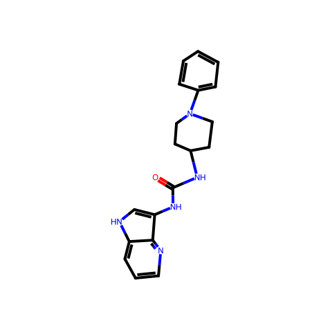 O=C(Nc1c[nH]c2cccnc12)NC1CCN(c2ccccc2)CC1